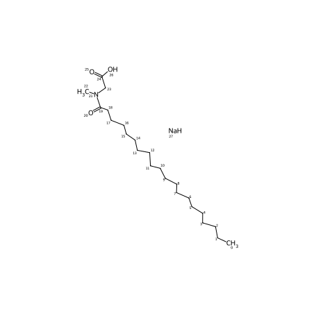 CCCCCCCCCCCCCCCCCCCC(=O)N(C)CC(=O)O.[NaH]